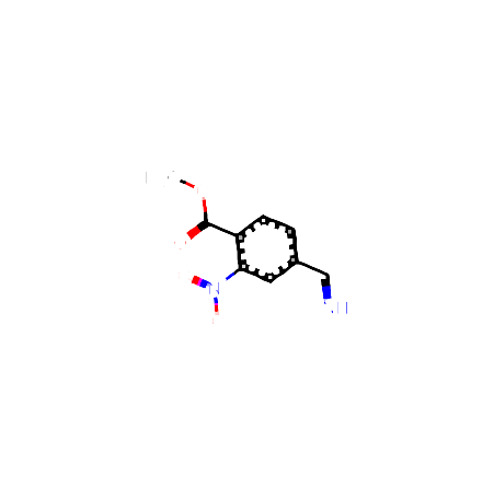 COC(=O)c1ccc(C=N)cc1[N+](=O)[O-]